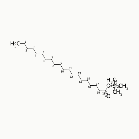 CCCCCCCCCCCCCCCCCCCC(=O)O[Si](C)(C)C